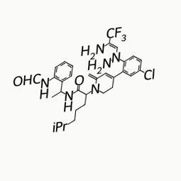 C=C1C=C(c2cc(Cl)ccc2N(N)/C=C(\N)C(F)(F)F)CCN1C(CCCC(C)C)C(=O)NC(C)c1ccccc1NC=O